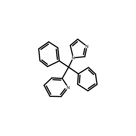 c1ccc(C(c2ccccc2)(c2ccccn2)n2ccnc2)cc1